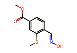 COC(=O)c1ccc(C=NO)c(SC)c1